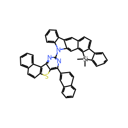 C[Si]1(C)c2ccccc2-c2ccc3cc4c5ccccc5n(-c5nc(-c6ccc7ccccc7c6)c6sc7ccc8ccccc8c7c6n5)c4cc3c21